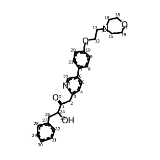 O=C(Cc1ccc(-c2ccc(OCCN3CCOCC3)cc2)cn1)C(O)Cc1ccccc1